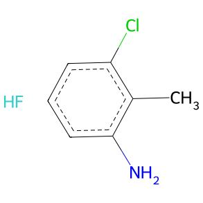 Cc1c(N)cccc1Cl.F